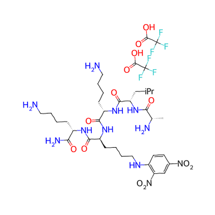 CC(C)C[C@H](NC(=O)[C@H](C)N)C(=O)N[C@@H](CCCCN)C(=O)N[C@@H](CCCCNc1ccc([N+](=O)[O-])cc1[N+](=O)[O-])C(=O)N[C@@H](CCCCN)C(N)=O.O=C(O)C(F)(F)F.O=C(O)C(F)(F)F